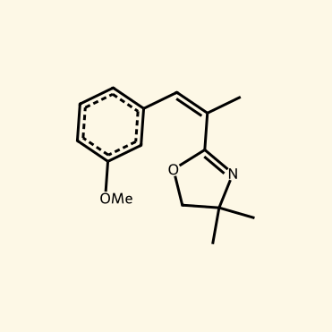 COc1cccc(C=C(C)C2=NC(C)(C)CO2)c1